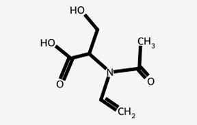 C=CN(C(C)=O)C(CO)C(=O)O